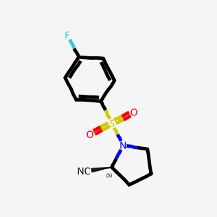 N#C[C@@H]1CCCN1S(=O)(=O)c1ccc(F)cc1